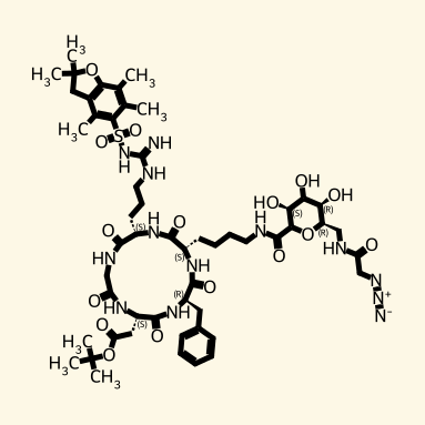 Cc1c(C)c(S(=O)(=O)NC(=N)NCCC[C@@H]2NC(=O)[C@H](CCCCNC(=O)C3O[C@H](CNC(=O)CN=[N+]=[N-])[C@H](O)C(O)[C@@H]3O)NC(=O)[C@@H](Cc3ccccc3)NC(=O)[C@H](CC(=O)OC(C)(C)C)NC(=O)CNC2=O)c(C)c2c1OC(C)(C)C2